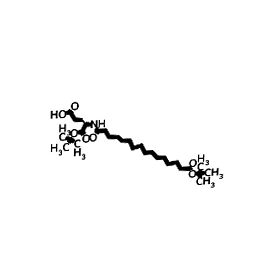 CC(C)(C)OC(=O)CCCCCCCCCCCCCCC(=O)N[C@@H](CCC(=O)O)C(=O)OC(C)(C)C